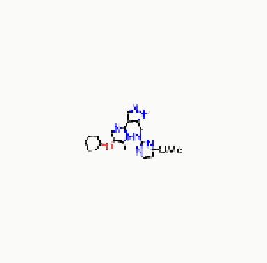 COc1ccnc(NCc2c(-c3ncc(OC4CCCCC4)c(C)n3)cnn2C)n1